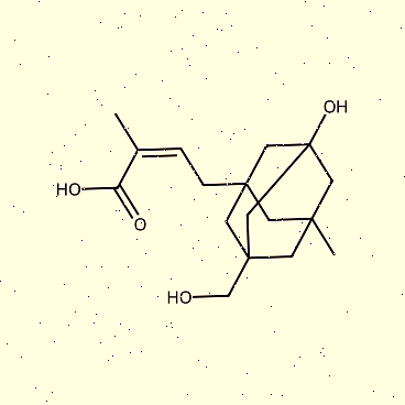 CC(=CCC12CC3(C)CC(O)(CC(CO)(C3)C1)C2)C(=O)O